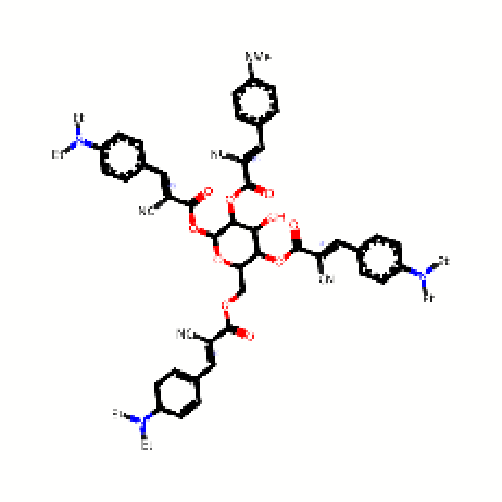 CCN(CC)c1ccc(/C=C(\C#N)C(=O)OC2OC(COC(=O)/C(C#N)=C/C3=CCC(N(CC)CC)C=C3)C(OC(=O)/C(C#N)=C/c3ccc(N(CC)CC)cc3)C(O)C2OC(=O)/C(C#N)=C/c2ccc(NC)cc2)cc1